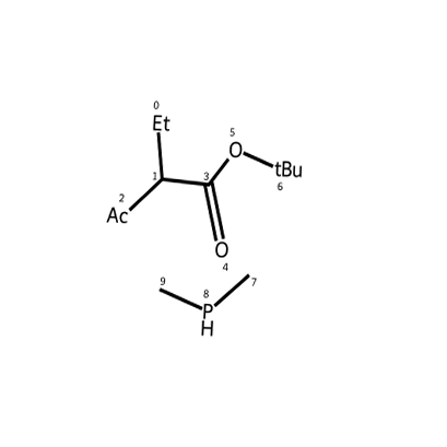 CCC(C(C)=O)C(=O)OC(C)(C)C.CPC